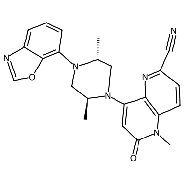 C[C@@H]1CN(c2cc(=O)n(C)c3ccc(C#N)nc23)[C@@H](C)CN1c1cccc2ncoc12